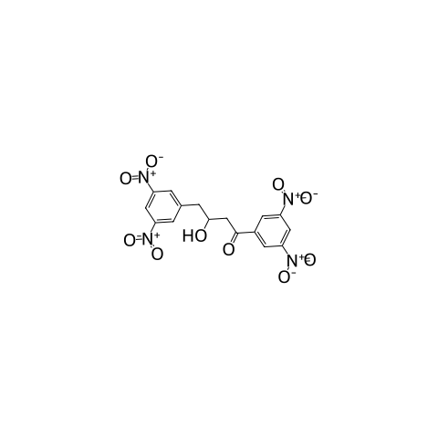 O=C(CC(O)Cc1cc([N+](=O)[O-])cc([N+](=O)[O-])c1)c1cc([N+](=O)[O-])cc([N+](=O)[O-])c1